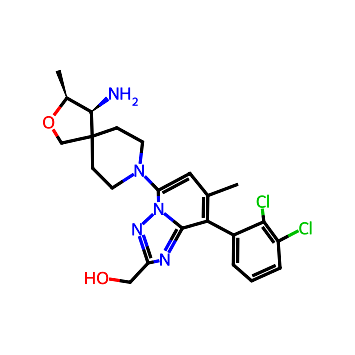 Cc1cc(N2CCC3(CC2)CO[C@@H](C)[C@H]3N)n2nc(CO)nc2c1-c1cccc(Cl)c1Cl